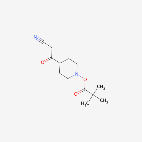 CC(C)(C)C(=O)ON1CCC(C(=O)CC#N)CC1